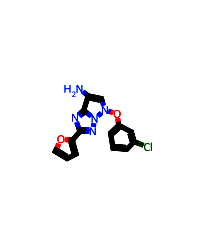 Nc1cn(Oc2cccc(Cl)c2)n2nc(-c3ccco3)nc12